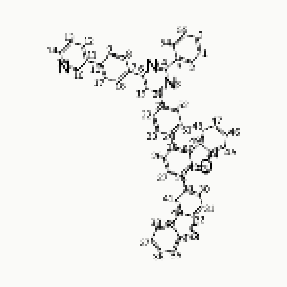 c1ccc(-c2nc(-c3ccc(-c4cccnc4)cc3)cc(-c3ccc(-c4ccc(-c5ccc6sc7ccccc7c6c5)c5oc6ccccc6c45)cc3)n2)cc1